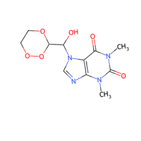 Cn1c(=O)c2c(ncn2C(O)C2OCCOO2)n(C)c1=O